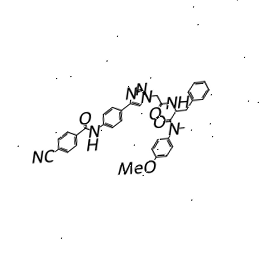 COc1ccc(N(C)C(=O)C(Cc2ccccc2)NC(=O)Cn2cc(-c3ccc(NC(=O)c4ccc(C#N)cc4)cc3)nn2)cc1